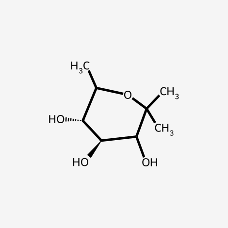 CC1OC(C)(C)C(O)[C@@H](O)[C@@H]1O